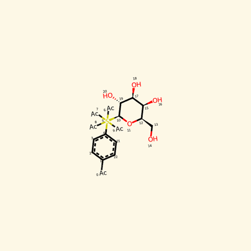 CC(=O)c1ccc(S(C(C)=O)(C(C)=O)(C(C)=O)(C(C)=O)[C@@H]2O[C@H](CO)[C@H](O)[C@H](O)[C@H]2O)cc1